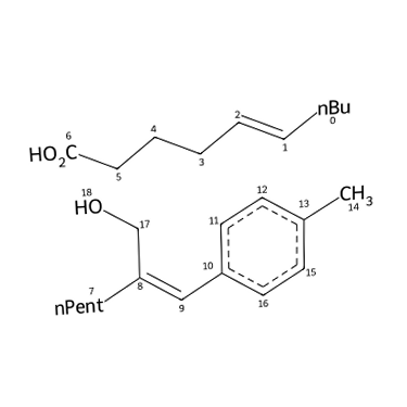 CCCCC=CCCCC(=O)O.CCCCCC(=Cc1ccc(C)cc1)CO